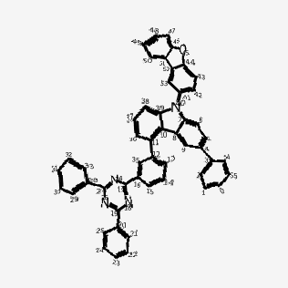 c1ccc(-c2ccc3c(c2)c2c(-c4cccc(-c5nc(-c6ccccc6)nc(-c6ccccc6)n5)c4)cccc2n3-c2ccc3oc4ccccc4c3c2)cc1